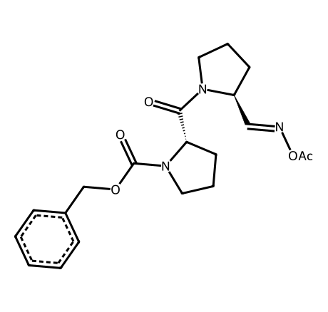 CC(=O)ON=C[C@@H]1CCCN1C(=O)[C@@H]1CCCN1C(=O)OCc1ccccc1